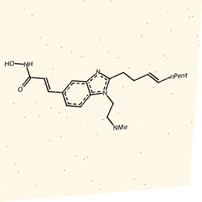 CCCCCC=CCCc1nc2cc(C=CC(=O)NO)ccc2n1CCNC